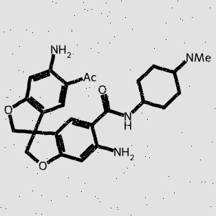 CNC1CCC(NC(=O)c2cc3c(cc2N)OCC32COc3cc(N)c(C(C)=O)cc32)CC1